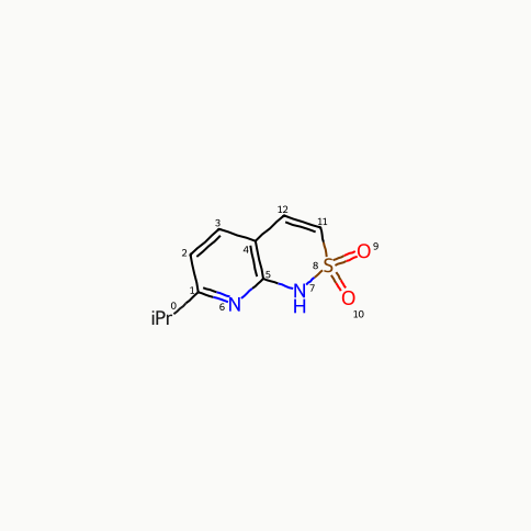 CC(C)c1ccc2c(n1)NS(=O)(=O)C=C2